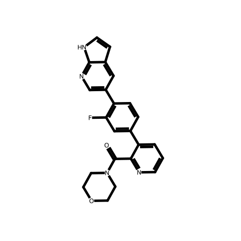 O=C(c1ncccc1-c1ccc(-c2cnc3[nH]ccc3c2)c(F)c1)N1CCOCC1